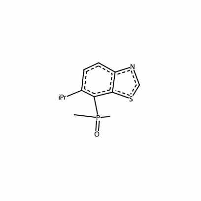 CC(C)c1ccc2ncsc2c1P(C)(C)=O